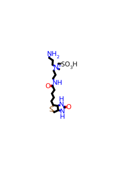 C[N+](CCCN)(CCCNC(=O)CCCCC1SCC2NC(=O)NC21)CS(=O)(=O)O